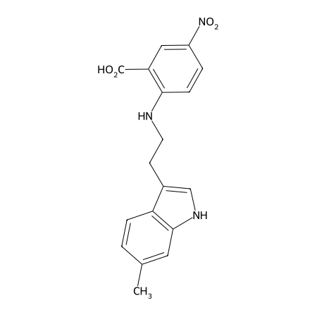 Cc1ccc2c(CCNc3ccc([N+](=O)[O-])cc3C(=O)O)c[nH]c2c1